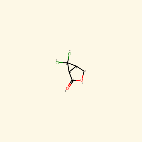 O=C1OCC2C1C2(Cl)Cl